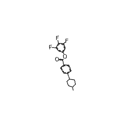 CC1CCC(c2ccc(C(=O)Oc3cc(F)c(F)c(F)c3)cc2)CC1